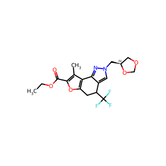 CCOC(=O)c1oc2c(c1C)-c1nn(C[C@H]3COCO3)cc1C(C(F)(F)F)C2